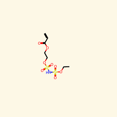 C=CC(=O)OCCOS(=O)(=O)NS(=O)(=O)OCC